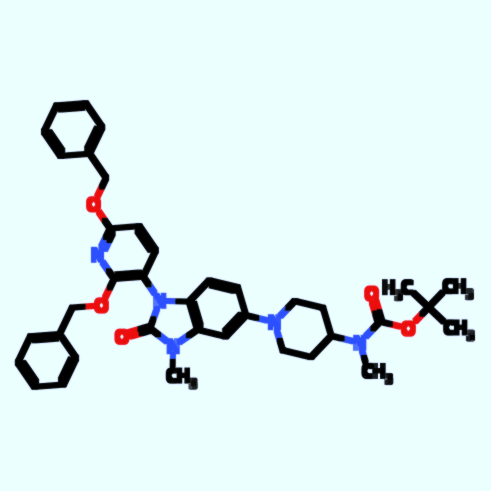 CN(C(=O)OC(C)(C)C)C1CCN(c2ccc3c(c2)n(C)c(=O)n3-c2ccc(OCc3ccccc3)nc2OCc2ccccc2)CC1